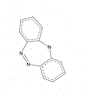 c1ccc2c(c1)[N]c1ccccc1N=N2